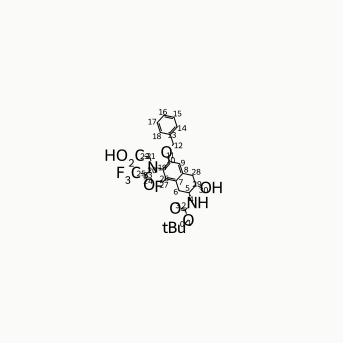 CC(C)(C)OC(=O)N[C@H]1Cc2c(cc(OCc3ccccc3)c(N(CC(=O)O)C(=O)C(F)(F)F)c2F)C[C@@H]1O